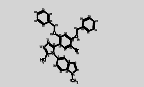 Cn1ccc2cc(-n3c(O)nnc3-c3cc(Br)c(OCc4ccccc4)cc3OCc3ccccc3)ccc21